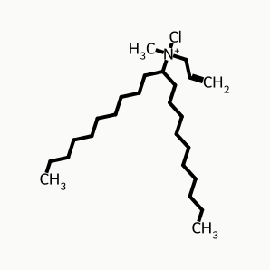 C=CC[N+](C)(Cl)C(CCCCCCCCCC)CCCCCCCCCC